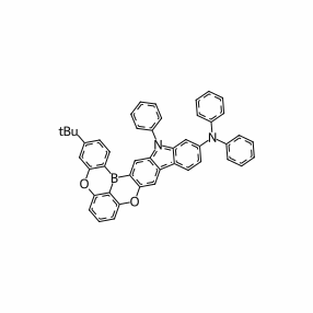 CC(C)(C)c1ccc2c(c1)Oc1cccc3c1B2c1cc2c(cc1O3)c1ccc(N(c3ccccc3)c3ccccc3)cc1n2-c1ccccc1